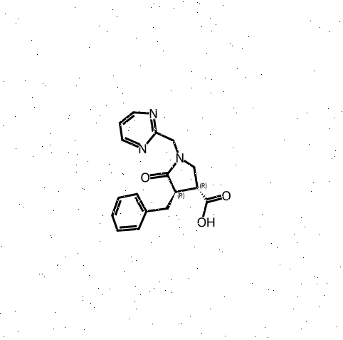 O=C(O)[C@H]1CN(Cc2ncccn2)C(=O)[C@@H]1Cc1ccccc1